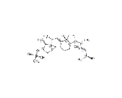 C=C1[C@@H](O[Si](C)(C)C(C)(C)C)CC2C[C@]12C(C)/C=C1\CCC[C@]2(C)[C@@H]([C@H](C)/C=C/[C@H](C)C(C)C)CC[C@@H]12